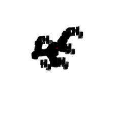 C=Cc1ccc(C2=CC=C3C(C2)C2C=C(C4=CC=C(N(c5ccc(C6=CCC(C(C)(C)C)C=C6)cc5)c5ccc6c(c5)C(CC(C)CCC(C)COC5C=CC(C7=CCC(C=C)C=C7)=CC5)(C5C=CC=CC5)C5C=CC=CC65)CC4)C=CC2N3c2ccccc2)cc1